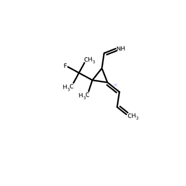 C=C/C=C1/C(C=N)C1(C)C(C)(C)F